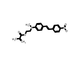 C=C(C)C(=O)OCCN(C)c1ccc(/C=C/c2ccc([N+](=O)[O-])cc2)cc1